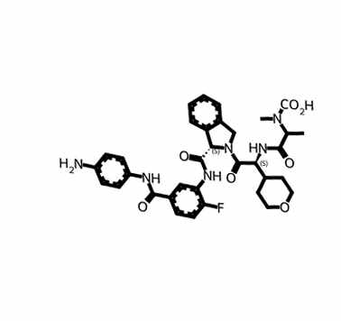 CC(C(=O)N[C@H](C(=O)N1Cc2ccccc2[C@H]1C(=O)Nc1cc(C(=O)Nc2ccc(N)cc2)ccc1F)C1CCOCC1)N(C)C(=O)O